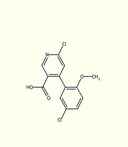 COc1ccc(Cl)cc1-c1cc(Cl)ncc1C(=O)O